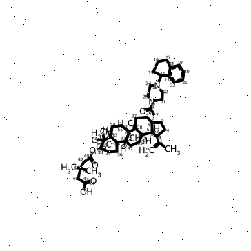 C=C(C)[C@@H]1CC[C@]2(CC(=O)N3CCN(C4CCCc5ccccc54)CC3)CC[C@]3(C)[C@H](CC[C@@H]4[C@@]5(C)CC[C@H](OC(=O)CC(C)(C)CC(=O)O)C(C)(C)[C@@H]5CC[C@]43C)[C@@H]12